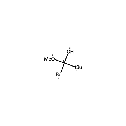 COC(O)(C(C)(C)C)C(C)(C)C